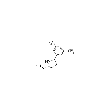 OCC1CCC(c2cc(C(F)(F)F)cc(C(F)(F)F)c2)N1